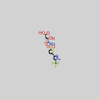 Cn1nc(-c2ccc(S(=O)(=O)NC(=O)/C(O)=C/C(=O)O)s2)cc1C(F)(F)F